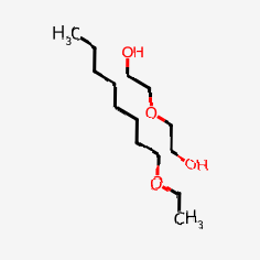 CCCCCCCCOCC.OCCOCCO